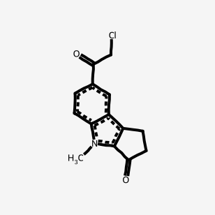 Cn1c2c(c3cc(C(=O)CCl)ccc31)CCC2=O